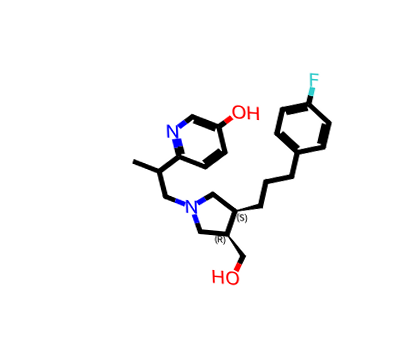 CC(CN1C[C@@H](CCCc2ccc(F)cc2)[C@@H](CO)C1)c1ccc(O)cn1